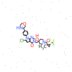 C[C@@]1(C(=O)N2CCC(O)(Cn3cnc4c(cc(Cl)n4-c4ccc(C5COCCN5)cc4)c3=O)CC2)C[C@H]1C(F)(F)F